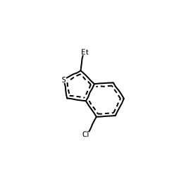 [CH2]Cc1scc2c(Cl)cccc12